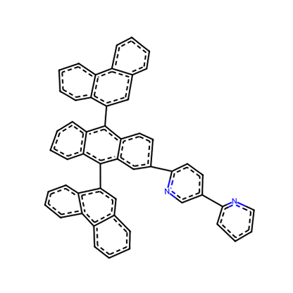 c1ccc(-c2ccc(-c3ccc4c(-c5cc6ccccc6c6ccccc56)c5ccccc5c(-c5cc6ccccc6c6ccccc56)c4c3)nc2)nc1